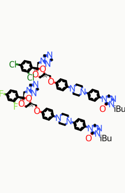 CCC(C)n1ncn(-c2ccc(N3CCN(c4ccc(OC[C@H]5CO[C@](Cn6cncn6)(c6ccc(Cl)cc6Cl)O5)cc4)CC3)cc2)c1=O.CCC(C)n1ncn(-c2ccc(N3CCN(c4ccc(OC[C@H]5CO[C@](Cn6cncn6)(c6ccc(F)cc6F)O5)cc4)CC3)cc2)c1=O